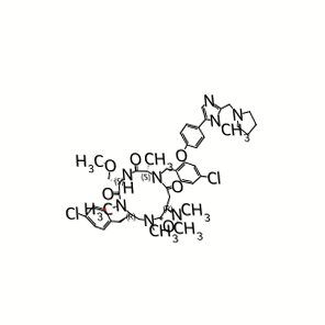 COC[C@@H]1NC(=O)[C@H](C)N(Cc2ccc(Cl)cc2Oc2ccc(-c3cnc(CN4CCCC4)n3C)cc2)C(=O)C[C@@H](N(C)C)C(=O)N(C)C[C@@H](Cc2ccc(Cl)cc2)N(C)C1=O